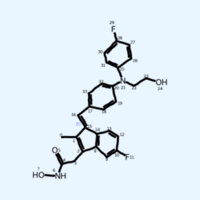 CC1=C(CC(=O)NO)c2cc(F)ccc2/C1=C\c1ccc(N(CCO)c2ccc(F)cc2)cc1